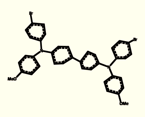 COc1ccc(N(c2ccc(Br)cc2)c2ccc(-c3ccc(N(c4ccc(Br)cc4)c4ccc(OC)cc4)cc3)cc2)cc1